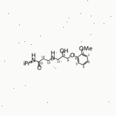 COc1ccccc1OCC(O)CNCCC(=O)NC(C)C